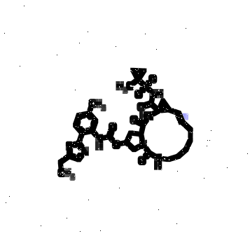 CCc1cnc(-c2ccc(C)cc2NC(=O)OC2CC3C(=O)NC4(C(=O)NS(=O)(=O)C5(C)CC5)CC4/C=C/CCCCCNC(=O)N3C2)s1